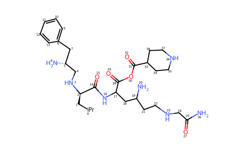 CC(C)C[C@@H](NC[C@H](N)Cc1ccccc1)C(=O)NC(CC(N)CCNCC(N)=O)C(=O)OC(=O)C1CCNCC1